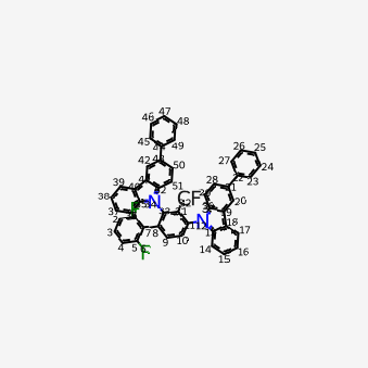 Fc1cccc(F)c1-c1ccc(-n2c3ccccc3c3cc(-c4ccccc4)ccc32)c(C(F)(F)F)c1-n1c2ccccc2c2cc(-c3ccccc3)ccc21